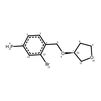 Pc1ccc(CO[C@H]2CCOC2)c(Br)c1